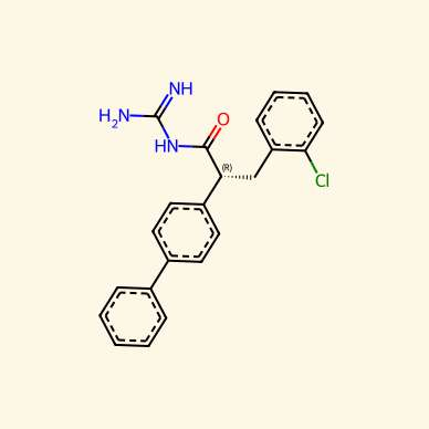 N=C(N)NC(=O)[C@H](Cc1ccccc1Cl)c1ccc(-c2ccccc2)cc1